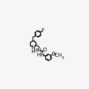 COc1cccc(NC(=O)NC[C@@H]2C[C@H](Cc3ccc(F)cc3)CCN2)c1